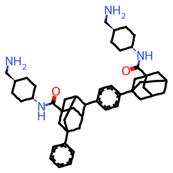 NC[C@H]1CC[C@H](NC(=O)C23CC4CC(C2)CC(c2ccc(C5C6CC7(C(=O)N[C@H]8CC[C@H](CN)CC8)CC5CC(c5ccccc5)(C6)C7)cc2)(C4)C3)CC1